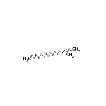 C=CCC(=C)CCCCCCCCCCCCCCCC